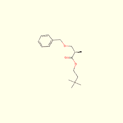 C[C@H](COCc1ccccc1)C(=O)OCC[Si](C)(C)C